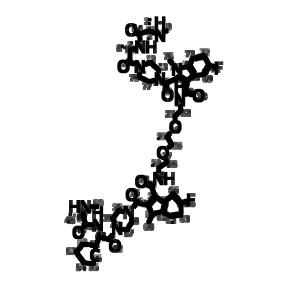 CN[C@@H](C)C(=O)N[C@@H](C)C(=O)N1CCN(C(=O)c2c(C(=O)NCCOCCOCCNC(=O)C3=C(C(=O)N4CCN(C(=O)[C@@H](NC(=O)[C@H](C)NC)C5CCCCC5)CC4)C(C)c4ccc(F)cc43)c3cc(F)ccc3n2C)CC1